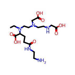 CCN(CCN(CCNCC(=O)O)CC(=O)O)C(CCC(=O)NCCN)C(=O)O